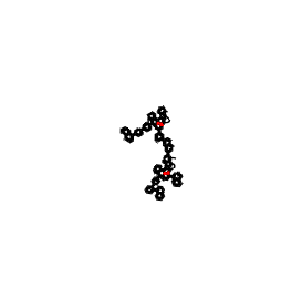 c1cc(-c2cccc(N(c3ccc(-c4ccc(-c5cccc6ccccc56)cc4)cc3)c3ccccc3-c3cccc4sc5ccccc5c34)c2)cc(-c2ccc3ccc(-c4ccc5c(c4)sc4cccc(-c6ccccc6N(c6ccc(-c7ccccc7-c7cccc8ccccc78)cc6)c6ccc(-c7cccc8ccccc78)cc6)c45)cc3c2)c1